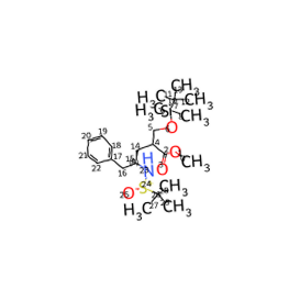 COC(=O)C(CO[Si](C)(C)C(C)(C)C)C[C@H](Cc1ccccc1)N[S+]([O-])C(C)(C)C